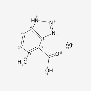 Cc1ccc2[nH]nnc2c1C(=O)O.[Ag]